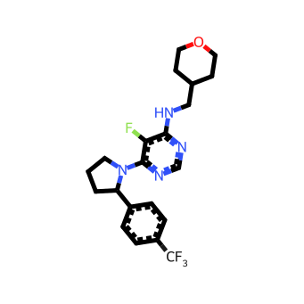 Fc1c(NCC2CCOCC2)ncnc1N1CCCC1c1ccc(C(F)(F)F)cc1